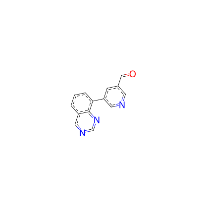 O=Cc1cncc(-c2cccc3cncnc23)c1